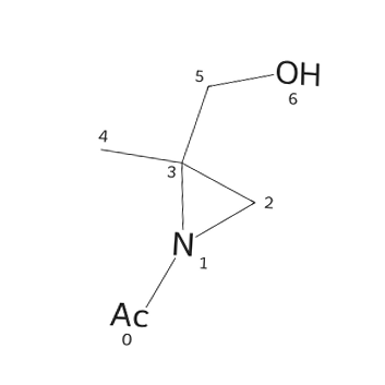 CC(=O)N1CC1(C)CO